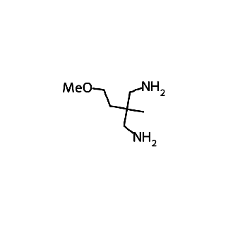 COCCC(C)(CN)CN